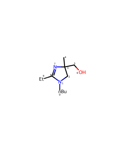 CCCCN1CC(C)(CO)N=C1CC